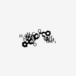 CN(C)C(=O)c1cn(CC2(O)CCN(C(=O)[C@H](CCO[Si](C)(C)C(C)(C)C)CC3CCCCC3)CC2(C)C)c(=O)cc1-c1ccccc1